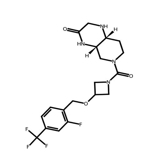 O=C1CN[C@@H]2CCN(C(=O)N3CC(OCc4ccc(C(F)(F)F)cc4F)C3)C[C@@H]2N1